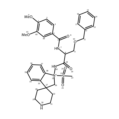 COc1ccc(C(=O)NC(COCc2ccccc2)C(=O)N[N+]2(S(C)(=O)=O)CC3(CCNCC3)c3ccccc32)cc1OC